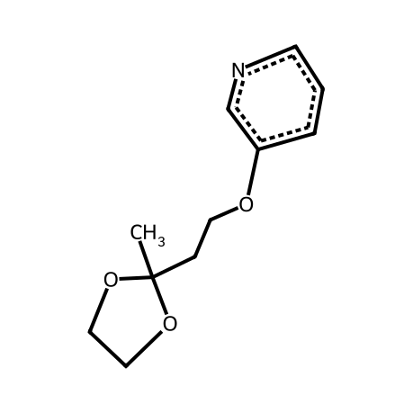 CC1(CCOc2cccnc2)OCCO1